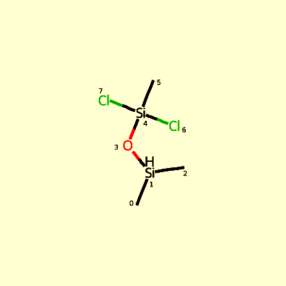 C[SiH](C)O[Si](C)(Cl)Cl